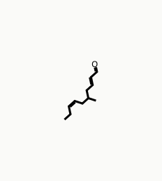 CC/C=C\CC(C)C/C=C/C=O